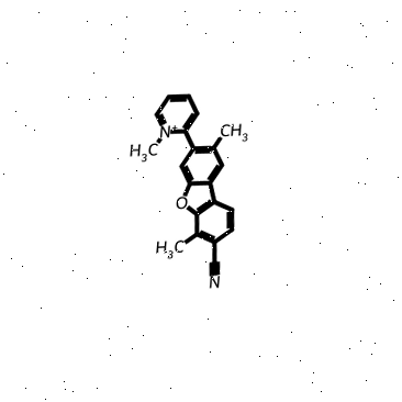 Cc1cc2c(cc1-c1cccc[n+]1C)oc1c(C)c(C#N)ccc12